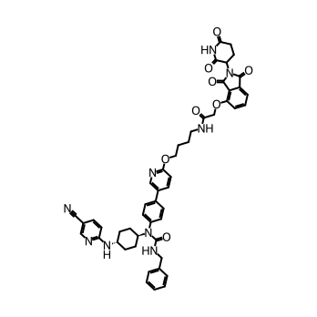 N#Cc1ccc(N[C@H]2CC[C@H](N(C(=O)NCc3ccccc3)c3ccc(-c4ccc(OCCCCNC(=O)COc5cccc6c5C(=O)N(C5CCC(=O)NC5=O)C6=O)nc4)cc3)CC2)nc1